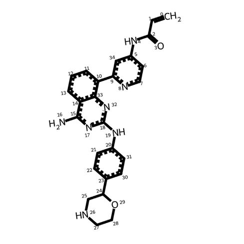 C=CC(=O)Nc1ccnc(-c2cccc3c(N)nc(Nc4ccc(C5CNCCO5)cc4)nc23)c1